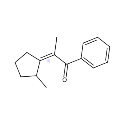 CC1CCC/C1=C(\I)C(=O)c1ccccc1